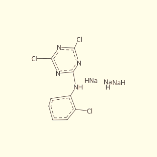 Clc1nc(Cl)nc(Nc2ccccc2Cl)n1.[NaH].[NaH].[NaH]